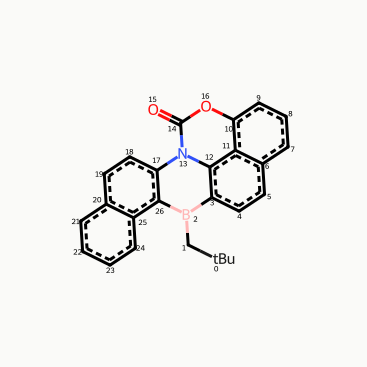 CC(C)(C)CB1c2ccc3cccc4c3c2N(C(=O)O4)c2ccc3ccccc3c21